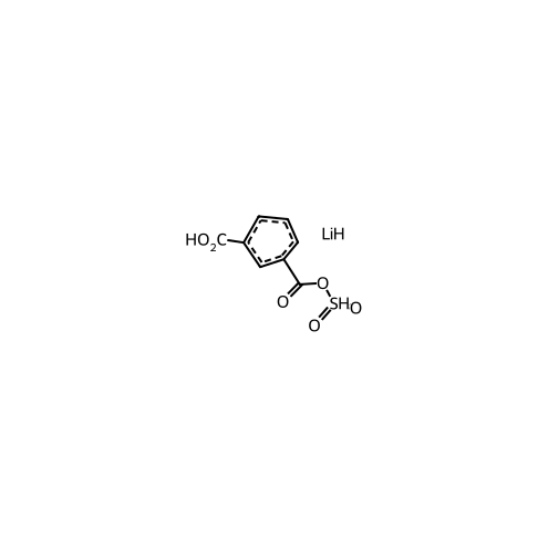 O=C(O)c1cccc(C(=O)O[SH](=O)=O)c1.[LiH]